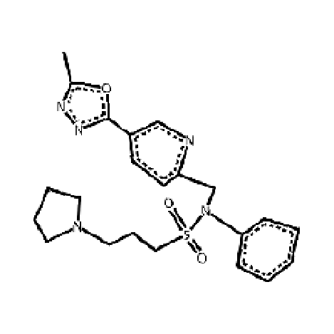 Cc1nnc(-c2ccc(CN(c3ccccc3)S(=O)(=O)CCCN3CCCC3)nc2)o1